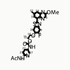 COc1cnc2c(-c3nc4cc(F)c(OC[C@@H](C)OC(=O)Nc5ccc(NC(C)=O)nc5)cc4s3)cc(C)cc2n1